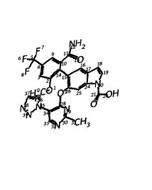 COc1cc(C(F)(F)F)cc(C(N)=O)c1-c1cc2ccn(C(=O)O)c2cc1Oc1nc(C)ncc1-n1ncnn1